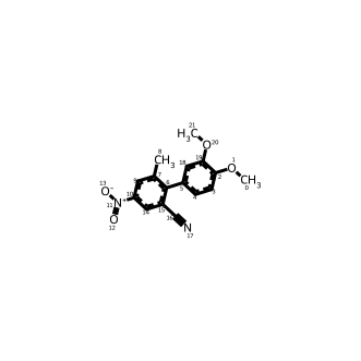 COc1ccc(-c2c(C)cc([N+](=O)[O-])cc2C#N)cc1OC